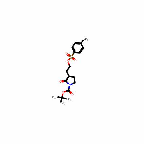 Cc1ccc(S(=O)(=O)OCCC2CCN(C(=O)OC(C)(C)C)C2=O)cc1